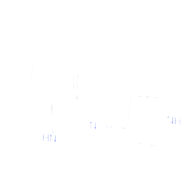 Cc1cccc2c1NCN2C1CCNCC1